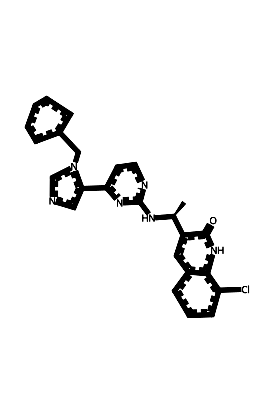 C[C@H](Nc1nccc(-c2cncn2Cc2ccccc2)n1)c1cc2cccc(Cl)c2[nH]c1=O